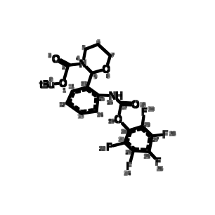 CC(C)(C)OC(=O)N1CCCOC1c1ccccc1NC(=O)Oc1c(F)c(F)c(F)c(F)c1F